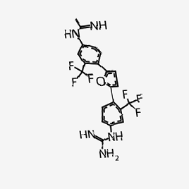 CC(=N)Nc1ccc(-c2ccc(-c3ccc(NC(=N)N)cc3C(F)(F)F)o2)c(C(F)(F)F)c1